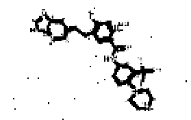 Cl.Cl.O=C(Nc1ccc(N2CCNCC2)c(C(F)(F)F)c1)c1ccc(F)c(CCc2cnc3[nH]cnc3c2)c1